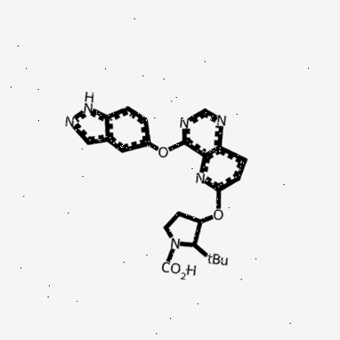 CC(C)(C)C1C(Oc2ccc3ncnc(Oc4ccc5[nH]ncc5c4)c3n2)CCN1C(=O)O